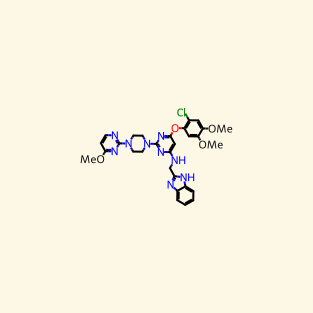 COc1ccnc(N2CCN(c3nc(NCc4nc5ccccc5[nH]4)cc(Oc4cc(OC)c(OC)cc4Cl)n3)CC2)n1